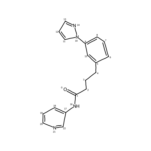 O=C(CCCc1cccc(-n2cccn2)c1)Nc1cccnc1